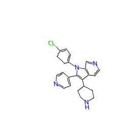 ClC1=CC=C(n2c(-c3ccncc3)c(C3CCNCC3)c3ccncc32)CC1